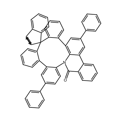 O=c1c2ccccc2c2cc(-c3ccccc3)cc3c2n1-c1ccc(-c2ccccc2)cc1-c1ccccc1C1(c2ccccc2-c2ccccc21)c1ccccc1-3